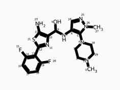 CN1CCN(c2c(NC(O)c3nc(-c4c(F)cccc4F)sc3N)cnn2C)CC1